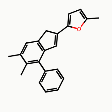 Cc1ccc(C2=Cc3c(cc(C)c(C)c3-c3ccccc3)C2)o1